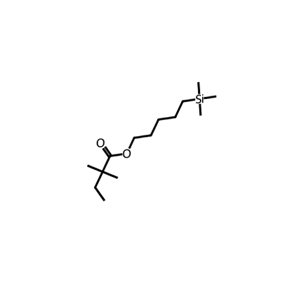 CCC(C)(C)C(=O)OCCCCC[Si](C)(C)C